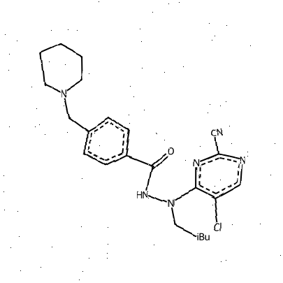 CCC(C)CN(NC(=O)c1ccc(CN2CCCCC2)cc1)c1nc(C#N)ncc1Cl